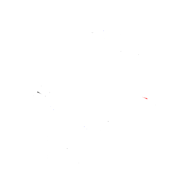 CC1=C\[C@@H](O)CC(=O)Cc2nc(c([Si](C)(C)C)o2)C(=O)N2CCC[C@@H]2C(=O)O[C@H](C(C)C)[C@H](C)/C=C/C(=O)NC\C=C\1